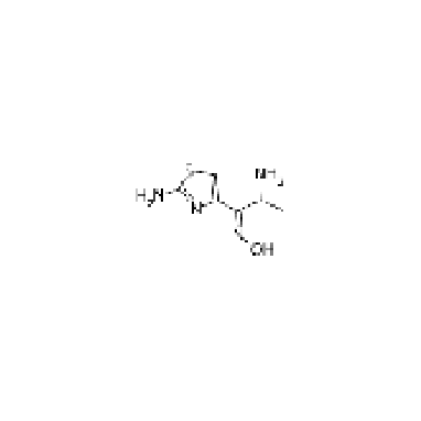 CC(N)/C(=N\O)c1csc(N)n1